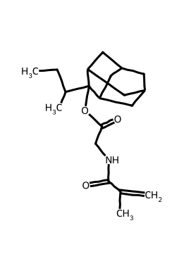 C=C(C)C(=O)NCC(=O)OC1(C(C)CC)C2CC3CC(C2)CC1C3